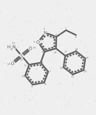 CCc1noc(-c2ccccc2S(N)(=O)=O)c1-c1ccccc1